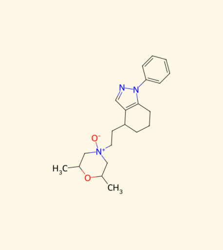 CC1C[N+]([O-])(CCC2CCCc3c2cnn3-c2ccccc2)CC(C)O1